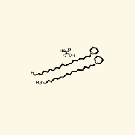 CCCCCCCCCCCCCCCCCCN1CCCCC1.CCCCCCCCCCCCCCCCCCN1CCCCC1.O=S(=O)(O)O